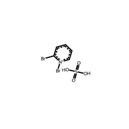 Brc1cccc[n+]1Br.O=S(=O)(O)O